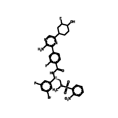 CN(C[C@@H](NC(=O)c1ccc(-c2nc(C3CCC(O)C(F)C3)cnc2N)cc1F)c1cc(F)cc(Br)c1)S(=O)(=O)c1ccccc1[N+](=O)[O-]